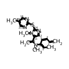 C=C/C=C\C(=C/C)N(C)C(=C)c1cnc(Sc2ncc(C)cn2)n1C